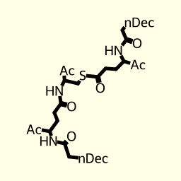 CCCCCCCCCCCC(=O)NC(CCC(=O)NC(CSC(=O)CCC(NC(=O)CCCCCCCCCCC)C(C)=O)C(C)=O)C(C)=O